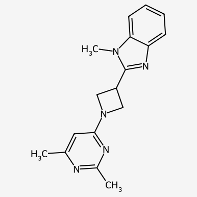 Cc1cc(N2CC(c3nc4ccccc4n3C)C2)nc(C)n1